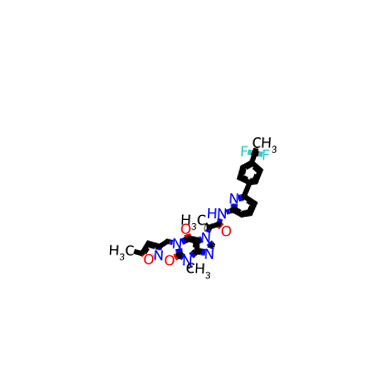 Cc1cc(Cn2c(=O)c3c(ncn3[C@@H](C)C(=O)Nc3cccc(-c4ccc(C(C)(F)F)cc4)n3)n(C)c2=O)no1